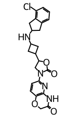 O=C1COc2ccc(N3CC(C4CC(NC5Cc6cccc(Cl)c6C5)C4)OC3=O)nc2N1